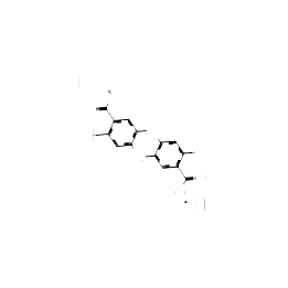 COC(=O)c1cc2c(cc1Cl)Sc1cc(C(=O)OC)c(Cl)cc1S2